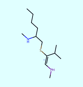 CCCCC(CS/C(=C/PC)C(C)C)NC